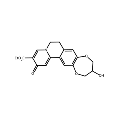 CCOC(=O)c1cn2c(cc1=O)-c1cc3c(cc1CC2)OCC(O)CO3